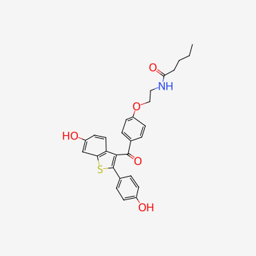 CCCCC(=O)NCCOc1ccc(C(=O)c2c(-c3ccc(O)cc3)sc3cc(O)ccc23)cc1